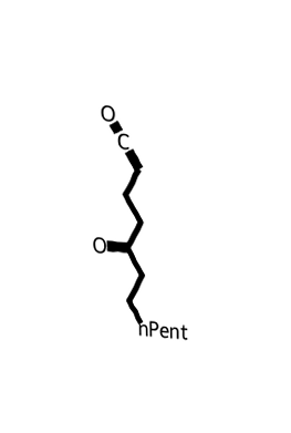 CCCCCCCC(=O)CCC=C=O